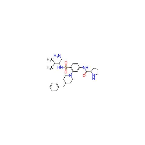 CC(C)C(CN)NS(=O)(=O)c1ccc(NC(=O)C2CCCN2)cc1N1CCC(Cc2ccccc2)CC1